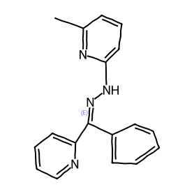 Cc1cccc(N/N=C(\c2ccccc2)c2ccccn2)n1